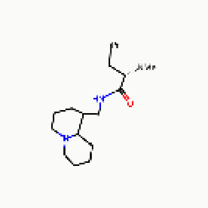 CN[C@@H](CC(C)C)C(=O)NCC1CCCN2CCCCC12